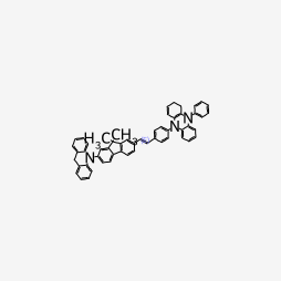 CC1(C)c2cc(/C=C/c3ccc(N4C5=C(CCC=C5)N(c5ccccc5)c5ccccc54)cc3)ccc2-c2ccc(N3c4ccccc4Cc4ccccc43)cc21